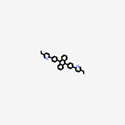 CCc1ccc(-c2ccc(-c3c4ccccc4c(-c4ccc(-c5ccc(CC)cn5)cc4)c4ccccc34)cc2)nc1